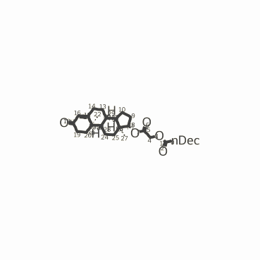 CCCCCCCCCCC(=O)OCC(=O)O[C@H]1CC[C@H]2[C@@H]3CCC4=CC(=O)CC[C@]4(C)[C@H]3CC[C@]12C